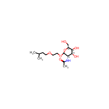 CC(=O)N[C@@H]1C(OCCOCCC(C)C)O[C@@H](CO)[C@@H](O)[C@H]1O